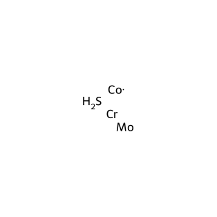 S.[Co].[Cr].[Mo]